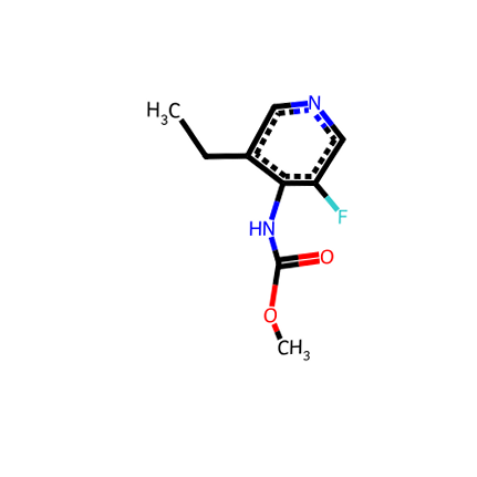 CCc1cncc(F)c1NC(=O)OC